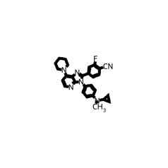 CN(c1ccc(-n2c(-c3ccc(C#N)c(F)c3)nc3c(N4CCCCC4)ccnc32)cc1)C1CC1